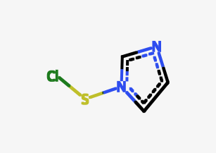 ClSn1ccnc1